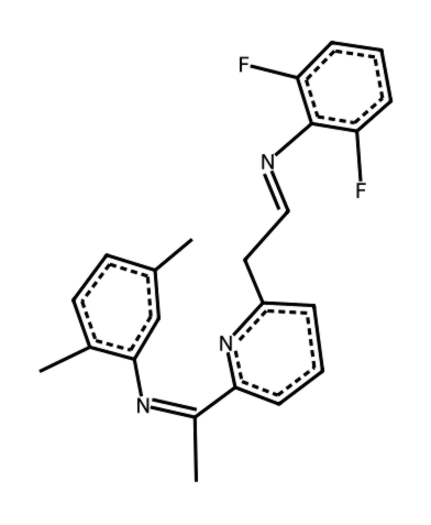 CC(=Nc1cc(C)ccc1C)c1cccc(CC=Nc2c(F)cccc2F)n1